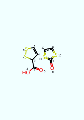 O=C(O)C1C=CSS1.O=c1sccs1